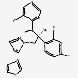 C[C@@H](c1ncncc1F)[C@](O)(Cn1cncn1)c1ccc(F)cc1F.c1cscn1